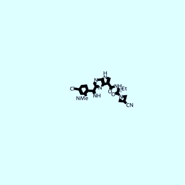 CC[C@@H](NC(=O)c1c[nH]c2ncc(C(=N)c3ccc(Cl)cc3NC)nc12)C(=O)N1CC(C#N)C1